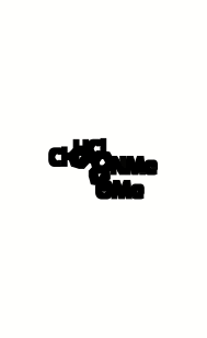 CN[C@@H]1CC[C@H](c2ccc(Cl)cc2)c2ccc(OC)cc21.Cl